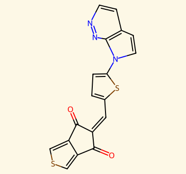 O=C1C(=Cc2ccc(-n3ccc4ccnnc43)s2)C(=O)c2cscc21